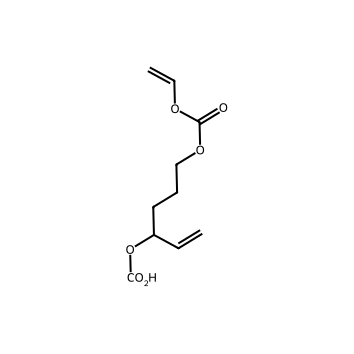 C=COC(=O)OCCCC(C=C)OC(=O)O